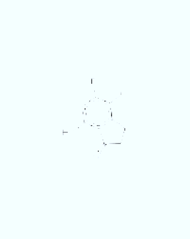 O=C1CCc2c(Cl)c(F)cc(O)c21